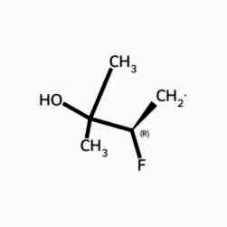 [CH2][C@@H](F)C(C)(C)O